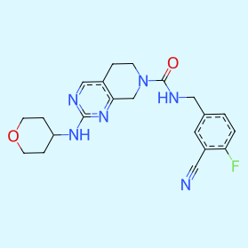 N#Cc1cc(CNC(=O)N2CCc3cnc(NC4CCOCC4)nc3C2)ccc1F